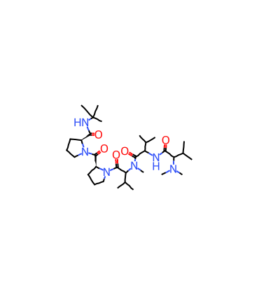 CC(C)C(NC(=O)C(C(C)C)N(C)C)C(=O)N(C)C(C(=O)N1CCC[C@H]1C(=O)N1CCC[C@H]1C(=O)NC(C)(C)C)C(C)C